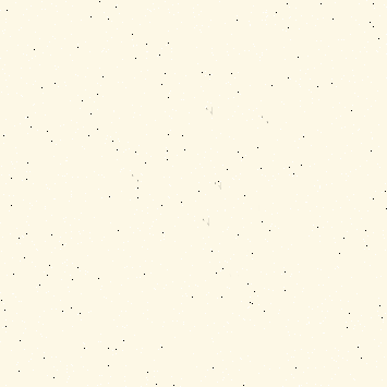 C[C@@H]1COCCN1c1nc2c(C3=NCC=C3)nccc2c2c1CCN2C